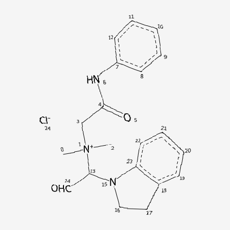 C[N+](C)(CC(=O)Nc1ccccc1)C(C=O)N1CCc2ccccc21.[Cl-]